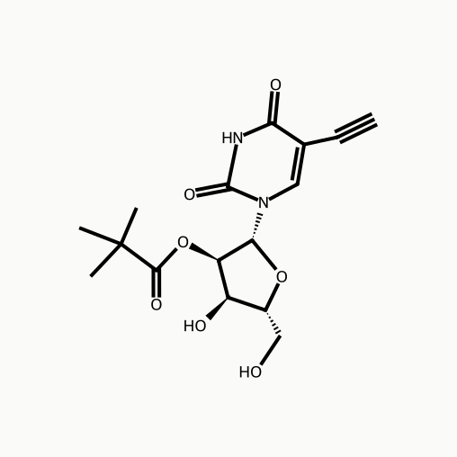 C#Cc1cn([C@@H]2O[C@H](CO)[C@@H](O)[C@H]2OC(=O)C(C)(C)C)c(=O)[nH]c1=O